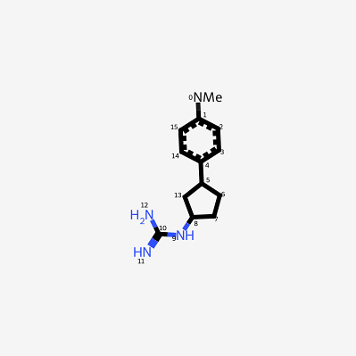 CNc1ccc(C2CCC(NC(=N)N)C2)cc1